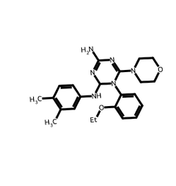 CCOc1ccccc1N1C(N2CCOCC2)=NC(N)=NC1Nc1ccc(C)c(C)c1